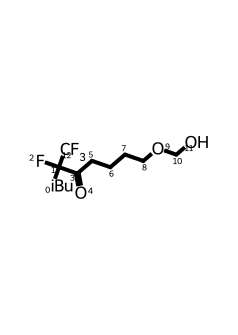 CCC(C)C(F)(C(=O)CCCCOCO)C(F)(F)F